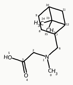 CN(CC(=O)O)CC1CCC2CC1C2(C)C